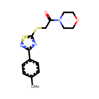 COc1ccc(-c2nsc(SCC(=O)N3CCOCC3)n2)cc1